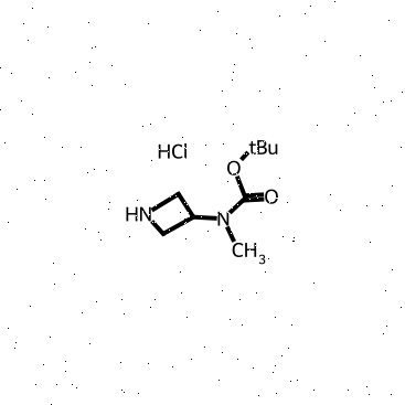 CN(C(=O)OC(C)(C)C)C1CNC1.Cl